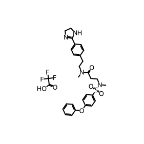 CN(CCc1ccc(C2=NCCN2)cc1)C(=O)CCN(C)S(=O)(=O)c1ccc(Oc2ccccc2)cc1.O=C(O)C(F)(F)F